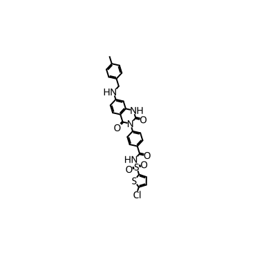 Cc1ccc(CNc2ccc3c(=O)n(-c4ccc(C(=O)NS(=O)(=O)c5ccc(Cl)s5)cc4)c(=O)[nH]c3c2)cc1